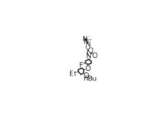 CCCCOc1cc(CC)ccc1Oc1ccc(N2CC(CN=[N+]=[N-])OC2=O)cc1F